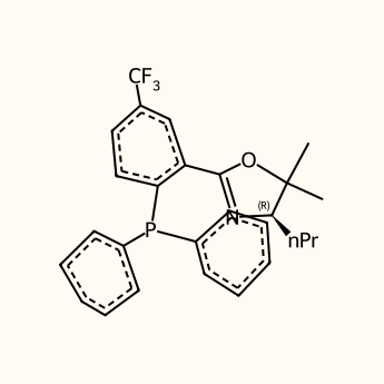 CCC[C@H]1N=C(c2cc(C(F)(F)F)ccc2P(c2ccccc2)c2ccccc2)OC1(C)C